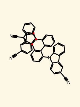 N#Cc1cccc(-c2cccc(-n3c4ccccc4c4cc(C#N)ccc43)c2-c2ccccc2-n2c3ccccc3c3cc(C#N)ccc32)c1